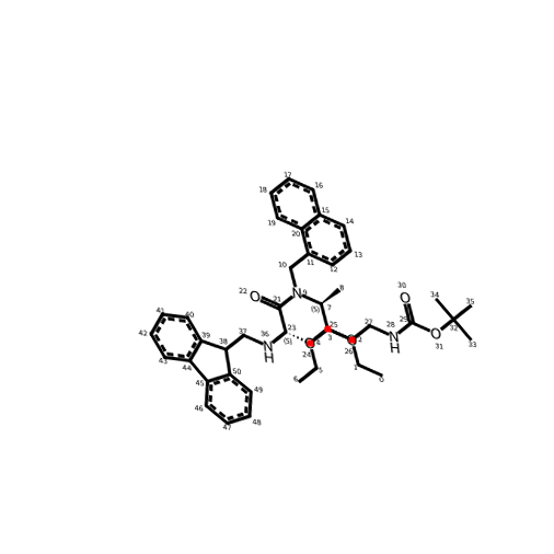 CCOC(OCC)[C@H](C)N(Cc1cccc2ccccc12)C(=O)[C@H](CCCCNC(=O)OC(C)(C)C)NCC1c2ccccc2-c2ccccc21